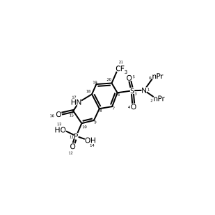 CCCN(CCC)S(=O)(=O)c1cc2cc(P(=O)(O)O)c(=O)[nH]c2cc1C(F)(F)F